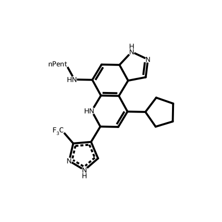 CCCCCNC1=CC2NN=CC2C2=C1NC(c1c[nH]nc1C(F)(F)F)C=C2C1CCCC1